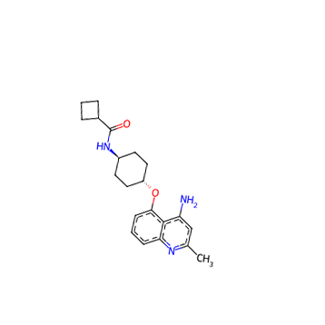 Cc1cc(N)c2c(O[C@H]3CC[C@H](NC(=O)C4CCC4)CC3)cccc2n1